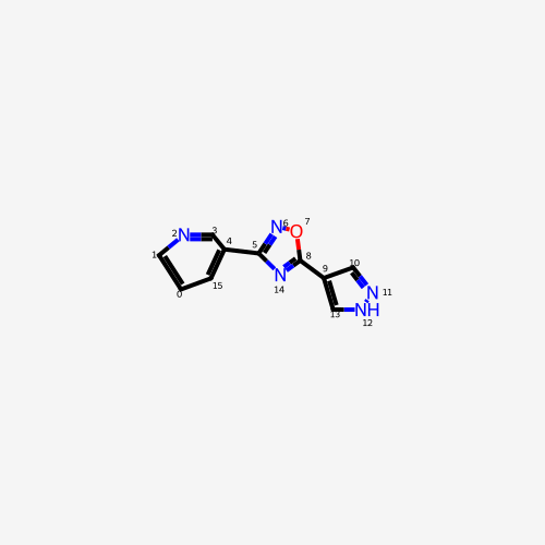 c1cncc(-c2noc(-c3cn[nH]c3)n2)c1